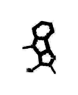 Cn1nc2c3ccccc3n(C)c2c1C(C)(C)C